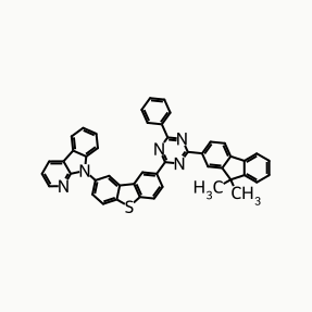 CC1(C)c2ccccc2-c2ccc(-c3nc(-c4ccccc4)nc(-c4ccc5sc6ccc(-n7c8ccccc8c8cccnc87)cc6c5c4)n3)cc21